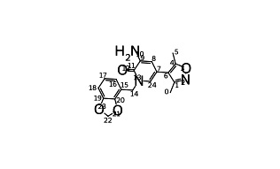 Cc1noc(C)c1-c1cc(N)c(=O)n(Cc2cccc3c2OCO3)c1